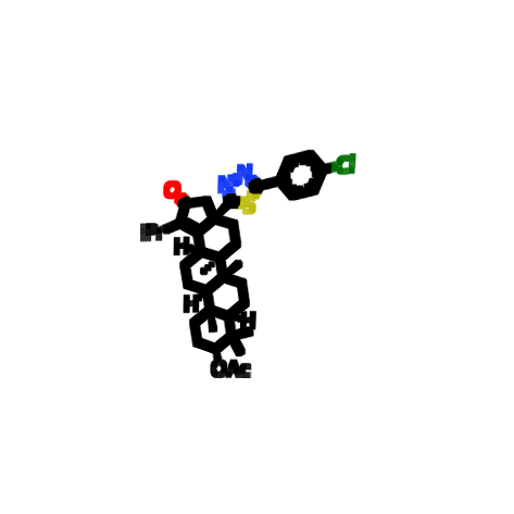 CC(=O)O[C@H]1CC[C@]2(C)[C@H]3CC[C@@H]4C5=C(C(C)C)C(=O)C[C@]5(c5nnc(-c6ccc(Cl)cc6)s5)CC[C@@]4(C)[C@]3(C)CC[C@H]2C1(C)C